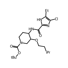 CCc1[nH]c(C(=O)NC2CCN(C(=O)OC(C)(C)C)CC2OCCC(C)C)nc1Cl